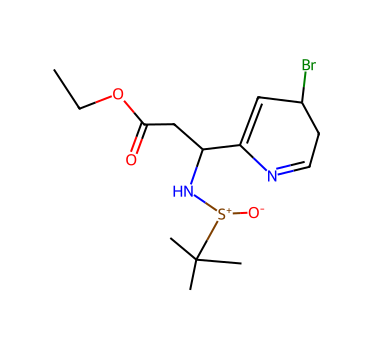 CCOC(=O)CC(N[S+]([O-])C(C)(C)C)C1=CC(Br)CC=N1